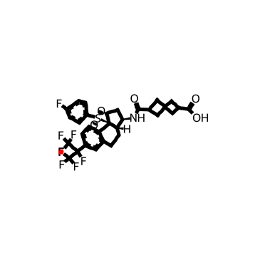 O=C(O)C1CC2(C1)CC(C(=O)N[C@@H]1CC[C@@]3(S(=O)(=O)c4ccc(F)cc4)c4ccc(C(F)(C(F)(F)F)C(F)(F)F)cc4CC[C@@H]13)C2